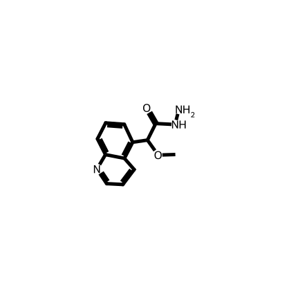 COC(C(=O)NN)c1cccc2ncccc12